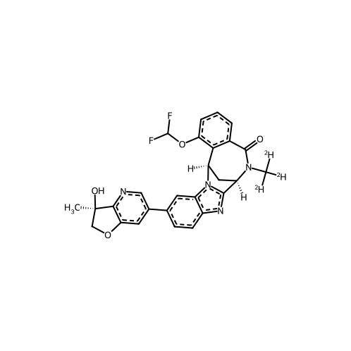 [2H]C([2H])([2H])N1C(=O)c2cccc(OC(F)F)c2[C@H]2C[C@@H]1c1nc3ccc(-c4cnc5c(c4)OC[C@@]5(C)O)cc3n12